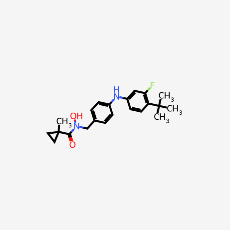 CC1(C(=O)N(O)Cc2ccc(Nc3ccc(C(C)(C)C)c(F)c3)cc2)CC1